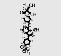 C#CC(C)(C#C)C(=O)N1CCC(Oc2ncnc3c(-c4ccc(S(C)(=O)=O)cc4)cn(C)c23)CC1